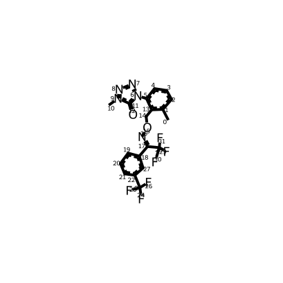 Cc1cccc(-n2nnn(C)c2=O)c1CON=C(c1cccc(C(F)(F)F)c1)C(F)(F)F